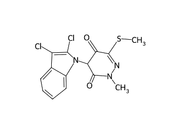 CSC1=NN(C)C(=O)C(n2c(Cl)c(Cl)c3ccccc32)C1=O